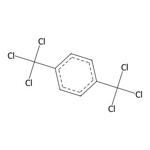 ClC(Cl)(Cl)c1ccc(C(Cl)(Cl)Cl)cc1